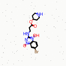 O=C(CCNc1n[n+]([O-])c2cc(Br)ccc2[n+]1O)OC1CCNCC1